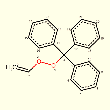 C=COOC(c1ccccc1)(c1ccccc1)c1ccccc1